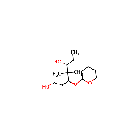 CC[C@@H](O)C(C)(C)[C@H](CCO)OC1CCCCO1